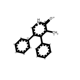 Cc1c(-c2ccccc2)c(-c2ccccc2)c[nH]c1=O